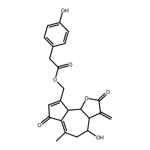 C=C1C(=O)OC2C3C(COC(=O)Cc4ccc(O)cc4)=CC(=O)C3=C(C)CC(O)C12